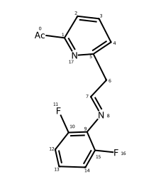 CC(=O)c1cccc(CC=Nc2c(F)cccc2F)n1